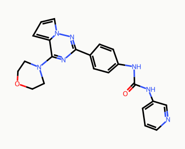 O=C(Nc1ccc(-c2nc(N3CCOCC3)c3cccn3n2)cc1)Nc1cccnc1